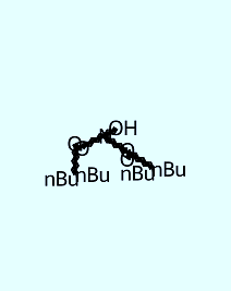 CCCCC(CCCC)CCCCCC(=O)OCCCCCN(CCO)CCCCCOC(=O)CCCCCC(CCCC)CCCC